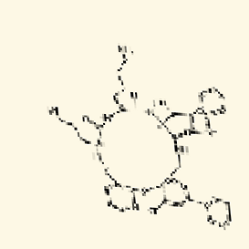 CN1C(=O)[C@H](CCCCN)NC(=O)[C@H](CCCN)NCc2cccnc2Sc2c(Cl)cc(-c3ccccn3)cc2CNC(=O)[C@@H]1Cc1c[nH]c2ccccc12